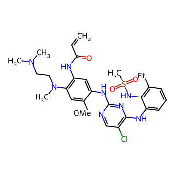 C=CC(=O)Nc1cc(Nc2ncc(Cl)c(Nc3cccc(CC)c3NS(C)(=O)=O)n2)c(OC)cc1N(C)CCN(C)C